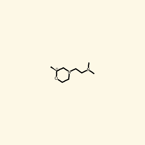 C[C@H]1CN(CCN(C)C)CCO1